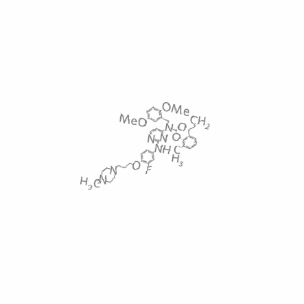 C=CCc1cccc(C)c1OC(=O)N(Cc1cc(OC)ccc1OC)c1ccnc(Nc2ccc(OCCCN3CCN(C)CC3)c(F)c2)n1